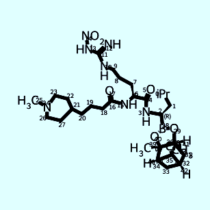 CC(C)C[C@H](NC(=O)[C@H](CCCNC(=N)N[N+](=O)[O-])NC(=O)CCCC1CCN(C)CC1)B1O[C@@H]2C[C@@H]3C[C@@H](C3(C)C)[C@]2(C)O1